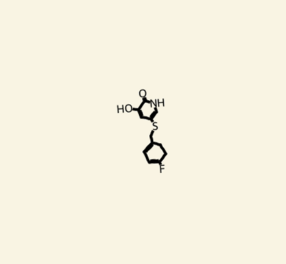 O=c1[nH]cc(SCC2=CC=C(F)CC2)cc1O